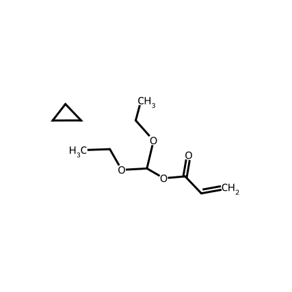 C1CC1.C=CC(=O)OC(OCC)OCC